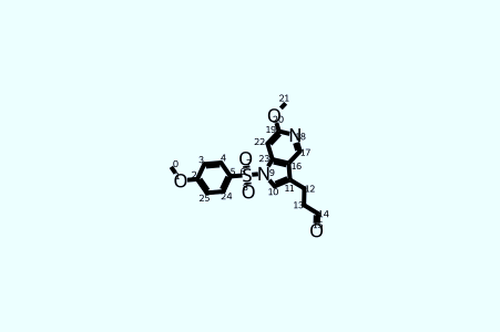 COc1ccc(S(=O)(=O)n2cc(CCC=O)c3cnc(OC)cc32)cc1